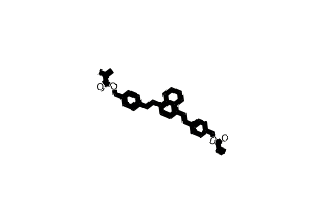 C=CC(=O)OCc1ccc(CCc2ccc(CCc3ccc(COC(=O)C(=C)C)cc3)c3c2CCCC3)cc1